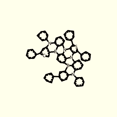 c1ccc(-c2ccc3c(c2)B2c4ccc5c6c4N(c4cccc(c42)N3c2ccccc2)c2c(-c3ccccc3)sc(-c3ccccc3)c2N6c2cccc3c2B5c2ccc(-c4ccccc4)cc2N3c2ccccc2)cc1